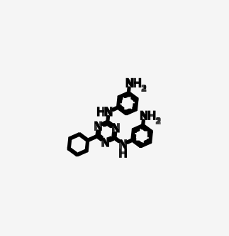 Nc1cccc(Nc2nc(Nc3cccc(N)c3)nc(C3CCCCC3)n2)c1